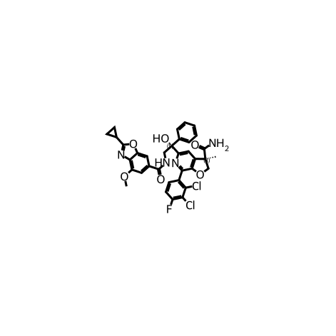 COc1cc(C(=O)NC[C@@](O)(c2ccccc2)c2cc3c(c(-c4ccc(F)c(Cl)c4Cl)n2)OC[C@]3(C)C(N)=O)cc2oc(C3CC3)nc12